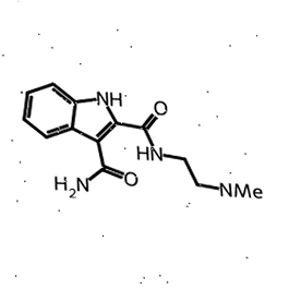 CNCCNC(=O)c1[nH]c2c[c]ccc2c1C(N)=O